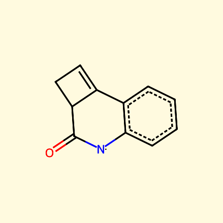 O=C1[N]c2ccccc2C2=CCC12